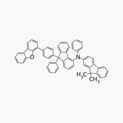 CC1(C)c2ccccc2-c2ccc(N(c3ccccc3)c3cccc4c3-c3ccccc3C4(c3ccccc3)c3ccc(-c4cccc5c4oc4ccccc45)cc3)cc21